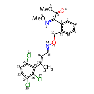 CON=C(C(=O)OC)c1ccccc1CON=C/C=C(\C)c1c(Cl)ccc(Cl)c1Cl